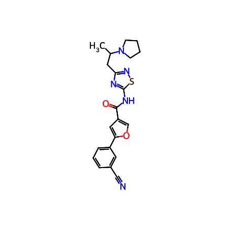 CC(Cc1nsc(NC(=O)c2coc(-c3cccc(C#N)c3)c2)n1)N1CCCC1